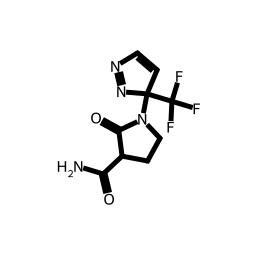 NC(=O)C1CCN(C2(C(F)(F)F)C=CN=N2)C1=O